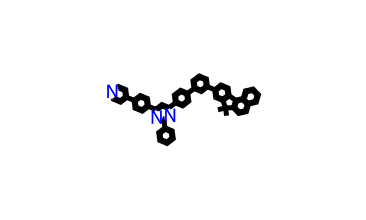 CC1(C)c2cc(-c3cccc(-c4ccc(-c5cc(-c6ccc(-c7ccncc7)cc6)nc(-c6ccccc6)n5)cc4)c3)ccc2-c2c1ccc1ccccc21